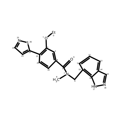 CCOc1cc(C(=O)N(C)Cc2cccc3cn[nH]c23)ccc1-c1ccns1